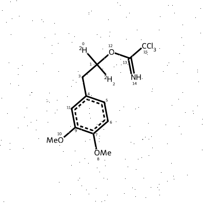 [2H]C([2H])(Cc1ccc(OC)c(OC)c1)OC(=N)C(Cl)(Cl)Cl